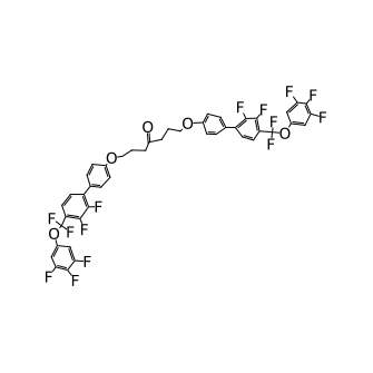 O=C(CCCOc1ccc(-c2ccc(C(F)(F)Oc3cc(F)c(F)c(F)c3)c(F)c2F)cc1)CCCOc1ccc(-c2ccc(C(F)(F)Oc3cc(F)c(F)c(F)c3)c(F)c2F)cc1